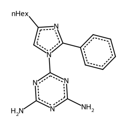 CCCCCCc1cn(-c2nc(N)nc(N)n2)c(-c2ccccc2)n1